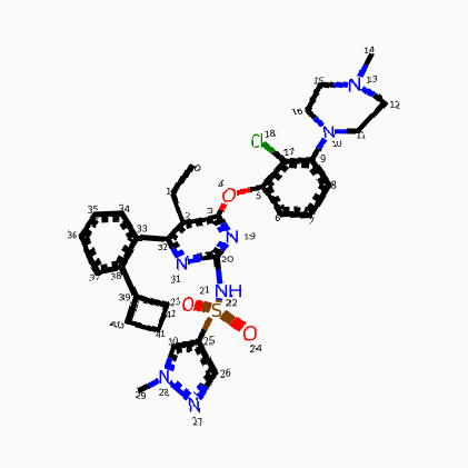 CCc1c(Oc2cccc(N3CCN(C)CC3)c2Cl)nc(NS(=O)(=O)c2cnn(C)c2)nc1-c1ccccc1C1CCC1